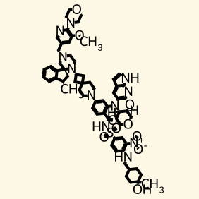 COc1cc(CN2CCN(C3CC4(CCN(c5ccc(C(=O)NS(=O)(=O)c6ccc(NCC7CCC(C)(O)CC7)c([N+](=O)[O-])c6)c(N6c7cc8cc[nH]c8nc7O[C@H]7COCC[C@@H]76)c5)CC4)C3)[C@@]3(C[C@H](C)c4ccccc43)C2)cnc1N1CCOCC1